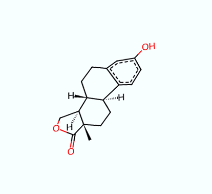 C[C@]12CC[C@@H]3c4ccc(O)cc4CC[C@H]3[C@@H]1COC2=O